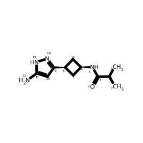 CC(C)C(=O)N[C@H]1C[C@@H](c2cc(N)[nH]n2)C1